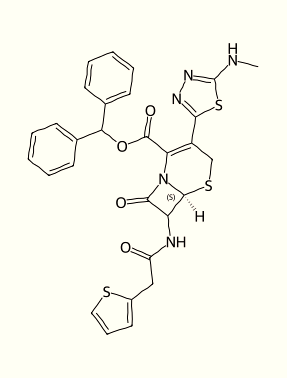 CNc1nnc(C2=C(C(=O)OC(c3ccccc3)c3ccccc3)N3C(=O)C(NC(=O)Cc4cccs4)[C@@H]3SC2)s1